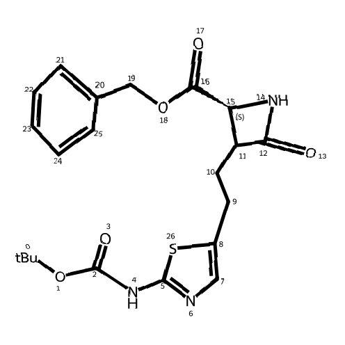 CC(C)(C)OC(=O)Nc1ncc(CCC2C(=O)N[C@@H]2C(=O)OCc2ccccc2)s1